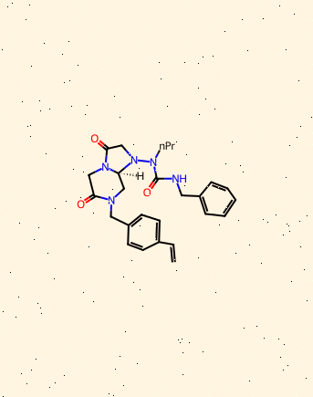 C=Cc1ccc(CN2C[C@H]3N(CC2=O)C(=O)CN3N(CCC)C(=O)NCc2ccccc2)cc1